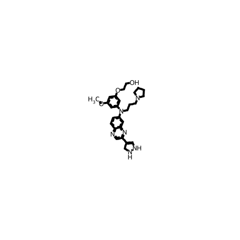 COc1cc(OCCO)cc(N(CCCN2CCCC2)c2ccc3ncc(C4=CNNC4)nc3c2)c1